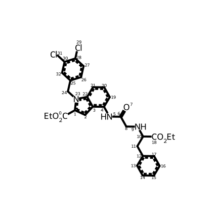 CCOC(=O)c1cc2c(NC(=O)CNC(Cc3ccccc3)C(=O)OCC)cccc2n1Cc1ccc(Cl)c(Cl)c1